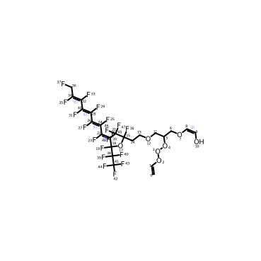 C=COOOC(CO/C=C\O)COCCC(F)(OC(F)(/C(F)=C(F)/C(F)=C(F)/C(F)=C(F)/C(F)=C(\F)CF)C(F)(F)C(F)(F)F)C(F)(F)F